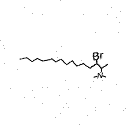 CCCCCCCCCCCCCC(Br)C(C)N(C)C